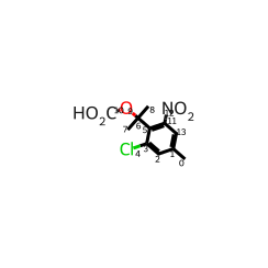 Cc1cc(Cl)c(C(C)(C)OC(=O)O)c([N+](=O)[O-])c1